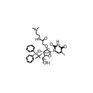 Cc1cn([C@@H]2OC([C@@H](C)O)[C@@H](O[Si](c3ccccc3)(c3ccccc3)C(C)(C)C)[C@H]2OCC(=O)NCCN(C)C)c(=O)[nH]c1=O